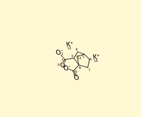 O=C([O-])C1CC2CCC1(C(=O)[O-])C2.[K+].[K+]